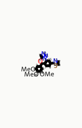 COc1cc(C(=O)c2ccc(-c3nccs3)cc2-n2ccnn2)cc(OC)c1OC